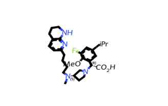 COc1c(F)cc(C(C)C)cc1[C@H](C(=O)O)N1CC[C@H](N(C)CCCCc2ccc3c(n2)NCCC3)C1